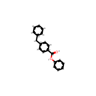 O=C(Oc1ccccc1)c1ccc([CH]c2ccccc2)cc1